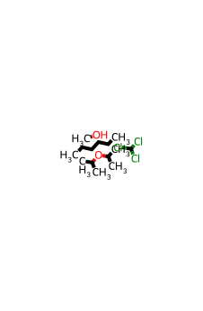 CC(C)OC(C)C.CCCCCC.CO.ClC(Cl)Cl